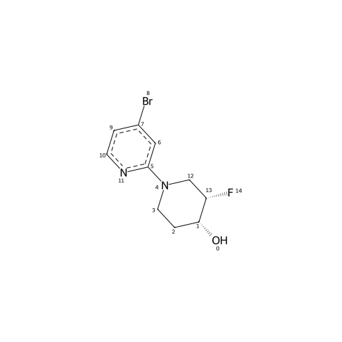 O[C@@H]1CCN(c2cc(Br)ccn2)C[C@@H]1F